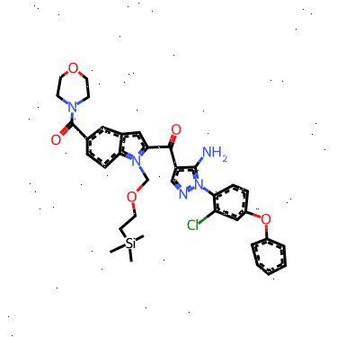 C[Si](C)(C)CCOCn1c(C(=O)c2cnn(-c3ccc(Oc4ccccc4)cc3Cl)c2N)cc2cc(C(=O)N3CCOCC3)ccc21